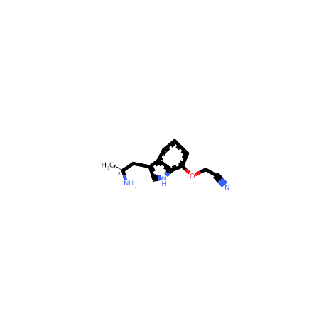 C[C@@H](N)Cc1c[nH]c2c(OCC#N)cccc12